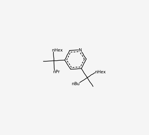 CCCCCCC(C)(CCC)c1cncc(C(C)(CCCC)CCCCCC)c1